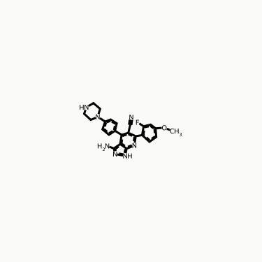 COc1ccc(-c2nc3[nH]nc(N)c3c(-c3ccc(N4CCNCC4)cc3)c2C#N)c(F)c1